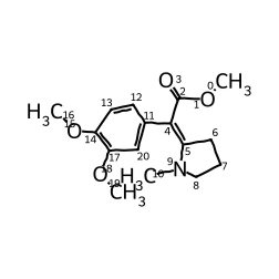 COC(=O)C(=C1CCCN1C)c1ccc(OC)c(OC)c1